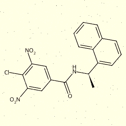 C[C@@H](NC(=O)c1cc([N+](=O)[O-])c(Cl)c([N+](=O)[O-])c1)c1cccc2ccccc12